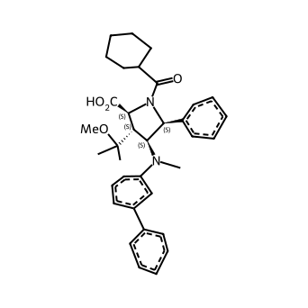 COC(C)(C)[C@H]1[C@H](N(C)c2cccc(-c3ccccc3)c2)[C@H](c2ccccc2)N(C(=O)C2CCCCC2)[C@@H]1C(=O)O